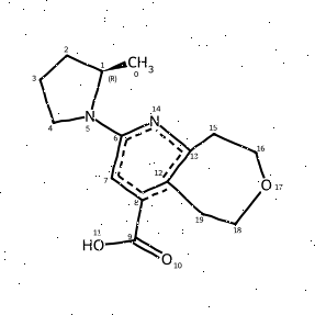 C[C@@H]1CCCN1c1cc(C(=O)O)c2c(n1)CCOCC2